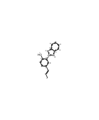 CC=Cc1ccc(O)c(-n2nc3ccccc3n2)c1